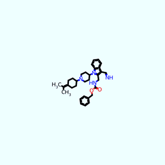 CC(C)=C1CCC(N2CCC(n3c(CNC(=O)OCc4ccccc4)c(C=N)c4ccccc43)CC2)CC1